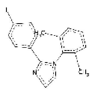 Cc1cccc(C)c1-n1ccnc1-c1ccc(I)cc1